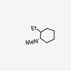 CCC1CCCC[C@@H]1NC